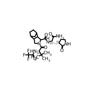 CC(C)(C)[C@H](NC(=O)C(F)(F)F)C(=O)N1CC2C3CCC(C3)C2C1C(=O)N[C@@H](C[C@@H]1CCNC1=O)C(N)=O